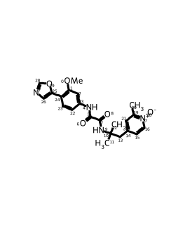 COc1cc(NC(=O)C(=O)NC(C)(C)Cc2cc[n+]([O-])c(C)c2)ccc1-c1cnco1